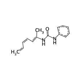 C=C/C=C\C=C(/C)NC(=O)Nc1ccccc1